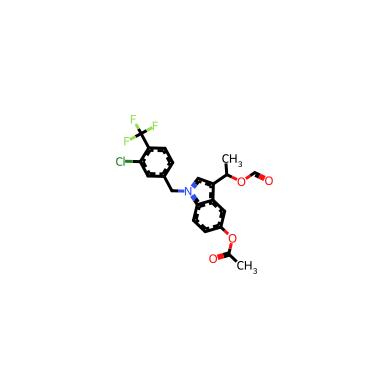 CC(=O)Oc1ccc2c(c1)c(C(C)OC=O)cn2Cc1ccc(C(F)(F)F)c(Cl)c1